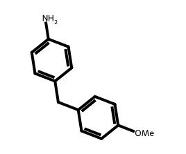 COc1ccc(Cc2ccc(N)cc2)cc1